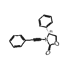 O=C1OC[C@@H](c2ccccc2)N1C#Cc1ccccc1